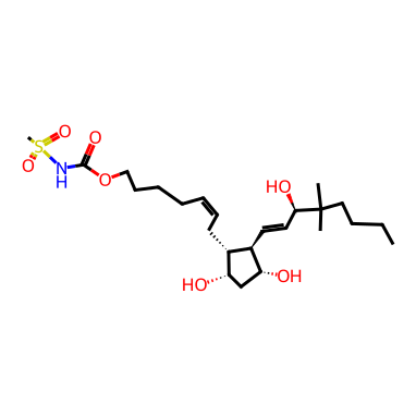 CCCCC(C)(C)[C@H](O)/C=C/[C@@H]1[C@@H](C/C=C\CCCCOC(=O)NS(C)(=O)=O)[C@@H](O)C[C@H]1O